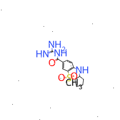 CS(=O)(=O)c1cc(C(=O)NC(=N)N)ccc1NC1CCCC1